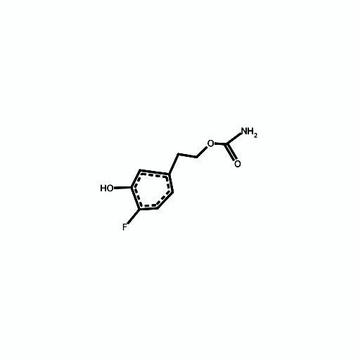 NC(=O)OCCc1ccc(F)c(O)c1